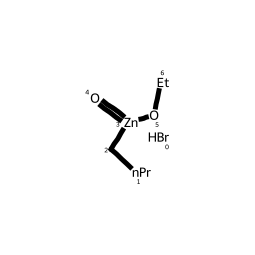 Br.CCC[CH2][Zn](=[O])[O]CC